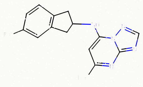 Cc1cc(NC2Cc3ccc(C(F)(F)F)cc3C2)n2ncnc2n1